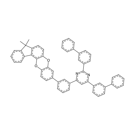 CC1(C)c2ccccc2-c2c1ccc1c2Oc2ccc(-c3cccc(-c4cc(-c5cccc(-c6ccccc6)c5)nc(-c5cccc(-c6ccccc6)c5)n4)c3)cc2O1